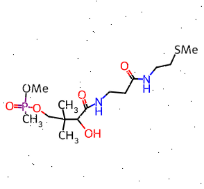 COP(C)(=O)OCC(C)(C)C(O)C(=O)NCCC(=O)NCCSC